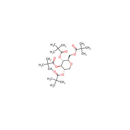 CC(C)(C)C(=O)OC[C@H]1OC[C@H](OC(=O)C(C)(C)C)[C@@H](OC(=O)C(C)(C)C)[C@@H]1OC(=O)C(C)(C)C